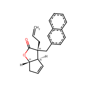 C=CC[C@]1(Cc2ccc3ccccc3c2)C(=O)O[C@H]2CC=C[C@@H]21